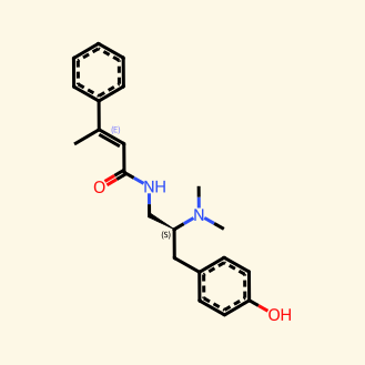 C/C(=C\C(=O)NC[C@H](Cc1ccc(O)cc1)N(C)C)c1ccccc1